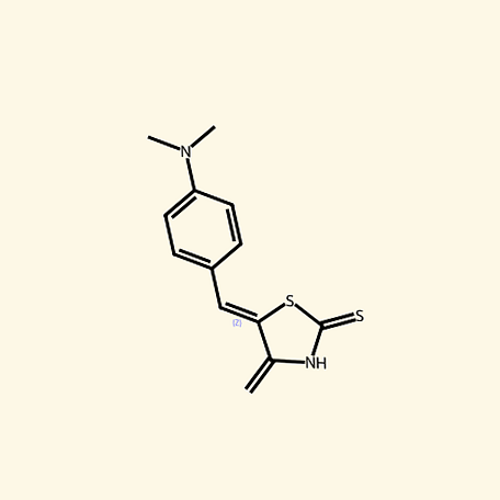 C=c1[nH]c(=S)s/c1=C\c1ccc(N(C)C)cc1